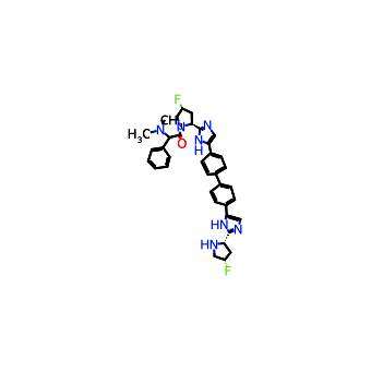 CN(C)C(C(=O)N1C[C@@H](F)C[C@H]1c1ncc(-c2ccc(-c3ccc(-c4cnc([C@@H]5C[C@H](F)CN5)[nH]4)cc3)cc2)[nH]1)c1ccccc1